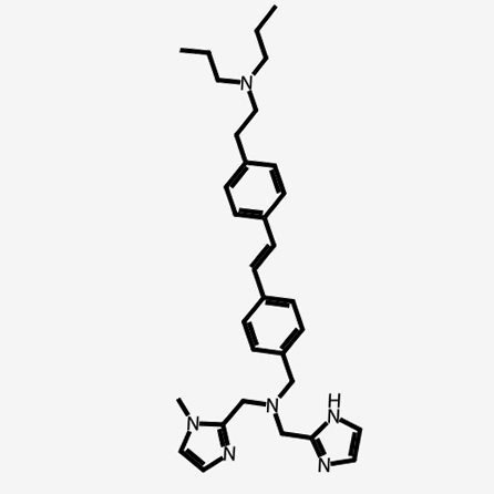 CCCN(CCC)CCc1ccc(C=Cc2ccc(CN(Cc3ncc[nH]3)Cc3nccn3C)cc2)cc1